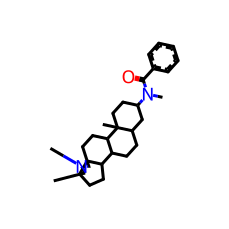 CC1C2CCC3C4CCC5CC(N(C)C(=O)c6ccccc6)CCC5(C)C4CCC32CN1C